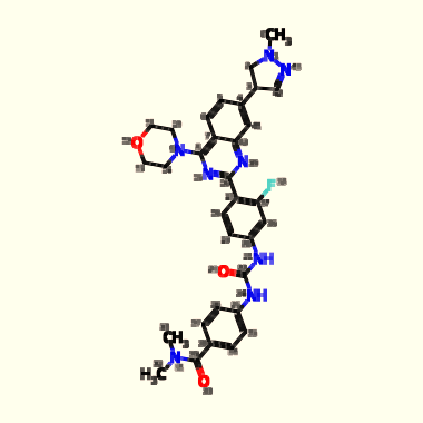 CN1CC(c2ccc3c(N4CCOCC4)nc(-c4ccc(NC(=O)Nc5ccc(C(=O)N(C)C)cc5)cc4F)nc3c2)C=N1